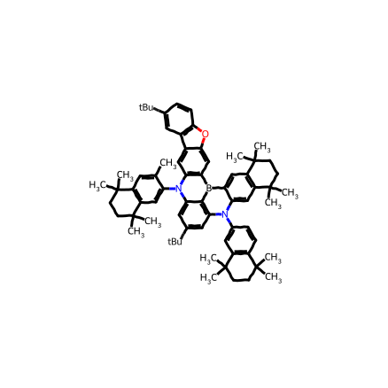 Cc1cc2c(cc1N1c3cc4c(cc3B3c5cc6c(cc5N(c5ccc7c(c5)C(C)(C)CCC7(C)C)c5cc(C(C)(C)C)cc1c53)C(C)(C)CCC6(C)C)oc1ccc(C(C)(C)C)cc14)C(C)(C)CCC2(C)C